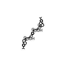 CC(C)c1ccc2c(c1)CCC1C(C)(C(=O)OCC(O)COC(=O)c3ccc(OCC(O)COC(=O)C4(C)CCCC5(C)c6ccc(C(C)C)cc6CCC45)cc3)CCCC21C